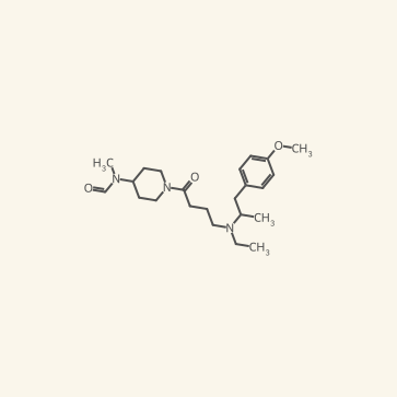 CCN(CCCC(=O)N1CCC(N(C)C=O)CC1)C(C)Cc1ccc(OC)cc1